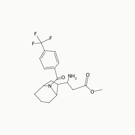 COC(=O)CC(N)C1CC2CCCC1N2C(=O)c1ccc(C(F)(F)F)cc1